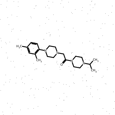 Cc1ccc(N2CCN(CC(=O)N3CCN(C(C)C)CC3)CC2)c(C)c1